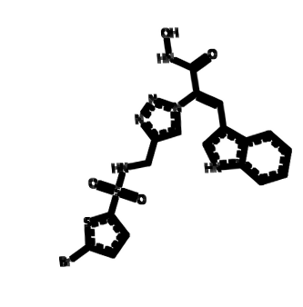 O=C(NO)C(=Cc1c[nH]c2ccccc12)n1cc(CNS(=O)(=O)c2ccc(Br)s2)nn1